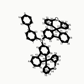 c1ccc(-c2cccc(N(c3ccc4c(c3)-c3ccccc3C43c4ccccc4Oc4ccccc43)c3ccc4c(c3)-c3ccccc3C43c4ccccc4Sc4ccccc43)c2)cc1